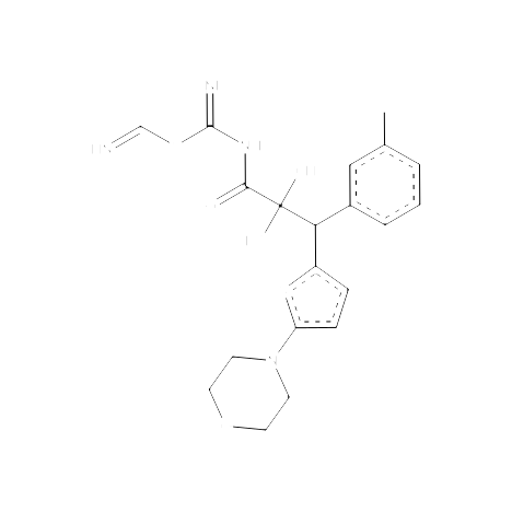 CC(C)(C(=O)NC(=N)SC=N)C(c1cccc(F)c1)c1ccc(N2CCOCC2)s1